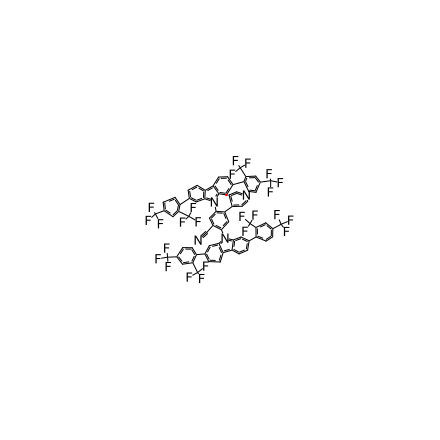 N#Cc1cc(-n2c3cc(-c4ccc(C(F)(F)F)cc4C(F)(F)F)ccc3c3ccc(-c4ccc(C(F)(F)F)cc4C(F)(F)F)cc32)c(-c2ccncc2)cc1-n1c2cc(-c3ccc(C(F)(F)F)cc3C(F)(F)F)ccc2c2ccc(-c3ccc(C(F)(F)F)cc3C(F)(F)F)cc21